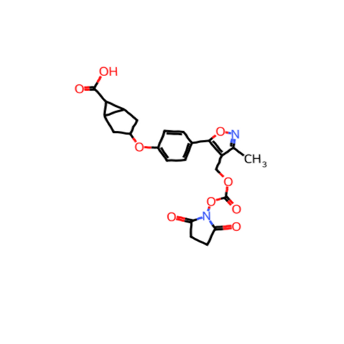 Cc1noc(-c2ccc(OC3CC4C(C3)C4C(=O)O)cc2)c1COC(=O)ON1C(=O)CCC1=O